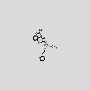 CCOP(=O)(CCCCc1ccccc1)NC1CSc2ccccc2N(CC(=O)O)C1=O